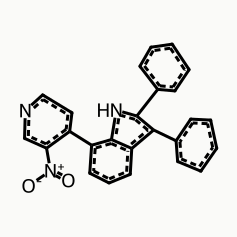 O=[N+]([O-])c1cnccc1-c1cccc2c(-c3ccccc3)c(-c3ccccc3)[nH]c12